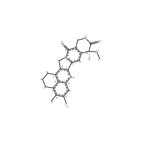 CO[C@]1(C)C(=O)OCc2c1cc1n(c2=O)Cc2c-1nc1cc(F)c(C)c3c1c2CCC3